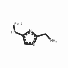 CCCCCNc1csc(CN)n1